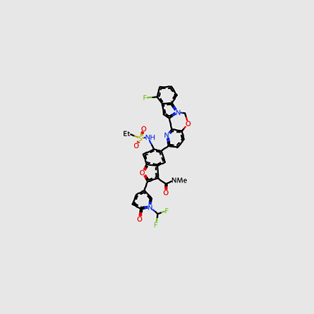 CCS(=O)(=O)Nc1cc2oc(-c3ccc(=O)n(C(F)F)c3)c(C(=O)NC)c2cc1-c1ccc2c(n1)-c1cc3c(F)cccc3n1CO2